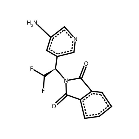 Nc1cncc([C@H](C(F)F)N2C(=O)c3ccccc3C2=O)c1